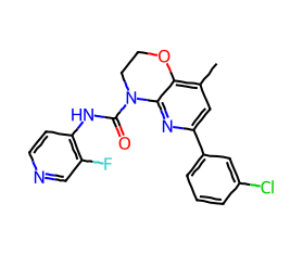 Cc1cc(-c2cccc(Cl)c2)nc2c1OCCN2C(=O)Nc1ccncc1F